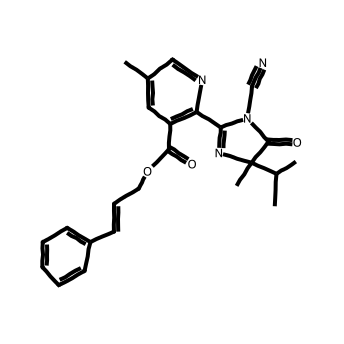 Cc1cnc(C2=NC(C)(C(C)C)C(=O)N2C#N)c(C(=O)OCC=Cc2ccccc2)c1